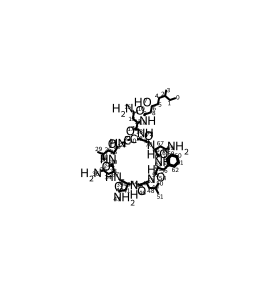 CCC(C)CCC(O)CC(=O)NC(CCN)C(=O)NC1CCNC(=O)C(CC(C)C)NC(=O)C(CCN)NC(=O)C(CCN)NC(=O)C(CC(C)C)NC(=O)C(Cc2ccccc2)NC(=O)C(CCN)NC1=O